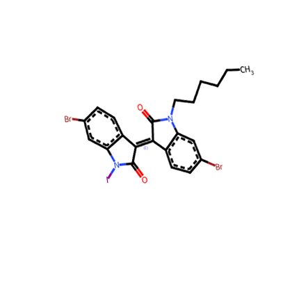 CCCCCCN1C(=O)/C(=C2/C(=O)N(I)c3cc(Br)ccc32)c2ccc(Br)cc21